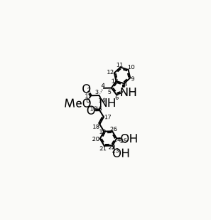 COC(=O)[C@H](Cc1c[nH]c2ccccc12)NC(=O)/C=C/c1ccc(O)c(O)c1